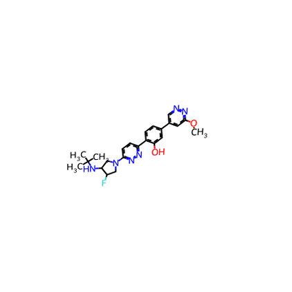 COc1cc(-c2ccc(-c3ccc(N4CC(F)C(NC(C)(C)C)C4)nn3)c(O)c2)cnn1